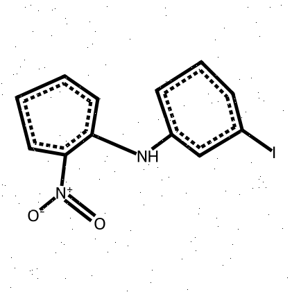 O=[N+]([O-])c1ccccc1Nc1cccc(I)c1